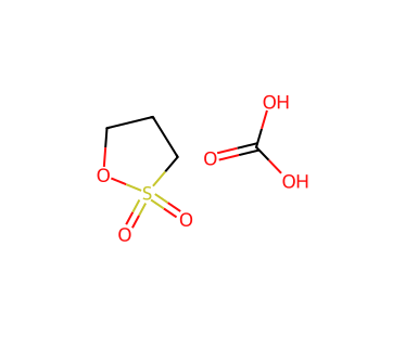 O=C(O)O.O=S1(=O)CCCO1